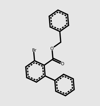 O=C(OCc1ccccc1)c1c(Br)cccc1-c1ccccc1